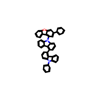 c1ccc(-c2cc(-n3c4ccccc4c4c(-c5cccc6c5c5ccccc5n6-c5ccccc5)cccc43)c3c(c2)oc2ccccc23)cc1